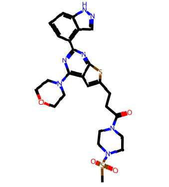 CS(=O)(=O)N1CCN(C(=O)CCc2cc3c(N4CCOCC4)nc(-c4cccc5[nH]ncc45)nc3s2)CC1